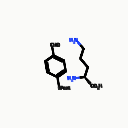 CCCCCc1ccc(C=O)cc1.NCCC[C@H](N)C(=O)O